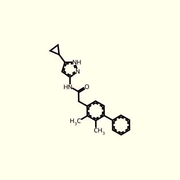 Cc1c(CC(=O)Nc2cc(C3CC3)[nH]n2)ccc(-c2ccccc2)c1C